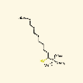 CCCCCCCCCCCCCCCCCCCC(S)[Si](OC)(OC)OC